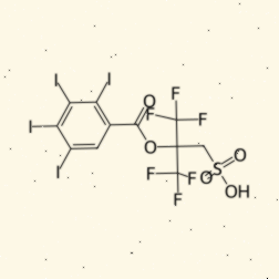 O=C(OC(CS(=O)(=O)O)(C(F)(F)F)C(F)(F)F)c1cc(I)c(I)c(I)c1I